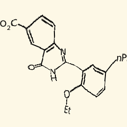 CCCc1ccc(OCC)c(-c2nc3ccc(C(=O)O)cc3c(=O)[nH]2)c1